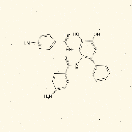 Nc1ccc(C(=O)Nc2c(-c3ccccc3)cc(O)c(O)c2NC(=O)c2ccc(N)cc2)cc1